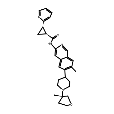 Cc1cc2cnc(NC(=O)[C@H]3C[C@@H]3c3ccccn3)cc2cc1C1CCN([C@@]2(C)CCOC2)CC1